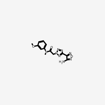 COc1cccc(N(C)C(=O)Cn2nnc(-c3nonc3N)n2)c1